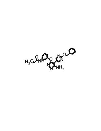 C=CC(=O)Nc1cccc(Oc2ncnc(N)c2-c2cnc(OCc3ccccc3)nc2)c1